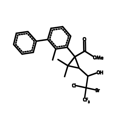 COC(=O)C1(c2cccc(-c3ccccc3)c2C)C(C(O)C(Cl)(Br)C(F)(F)F)C1(C)C